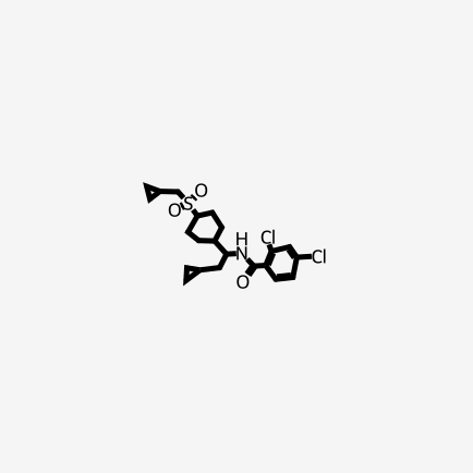 O=C(NC(CC1CC1)C1CCC(S(=O)(=O)CC2CC2)CC1)c1ccc(Cl)cc1Cl